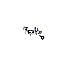 CC(C)C[C@H](NC(=O)OCc1ccccc1)C(=O)N/C(=C/N1CCC(NC(=O)OC(C)(C)C)C1)C(N)=O